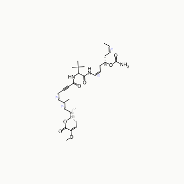 C/C=C\C[C@@H](C/C=C\NC(=O)C(NC(=O)C#C/C=C\C(C)=C\[C@H](C)[C@@H]1CC=C(OC)C(=O)O1)C(C)(C)C)OC(N)=O